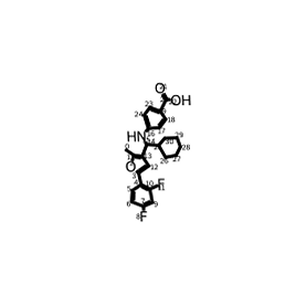 Cc1oc(-c2ccc(F)cc2F)cc1C(Nc1ccc(C(=O)O)cc1)C1CCCCC1